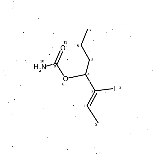 CC=C(I)C(CCC)OC(N)=O